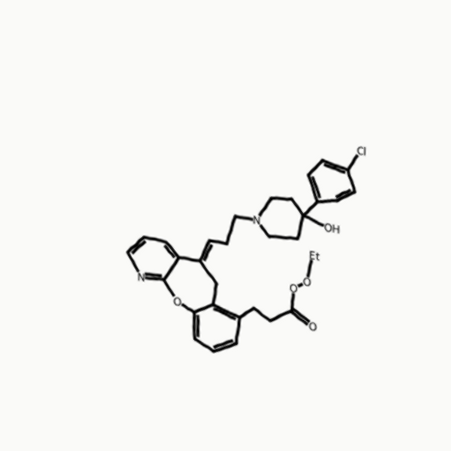 CCOOC(=O)CCc1cccc2c1CC(=CCCN1CCC(O)(c3ccc(Cl)cc3)CC1)c1cccnc1O2